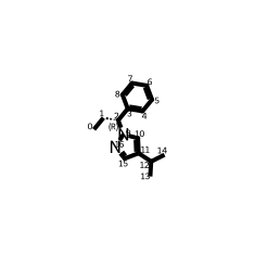 CC[C@H](c1ccccc1)n1cc(C(C)C)cn1